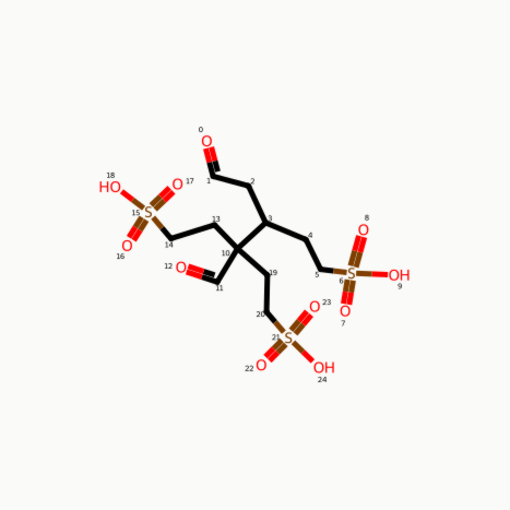 O=CCC(CCS(=O)(=O)O)C(C=O)(CCS(=O)(=O)O)CCS(=O)(=O)O